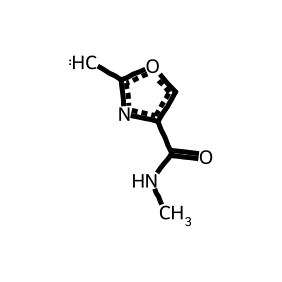 [CH]c1nc(C(=O)NC)co1